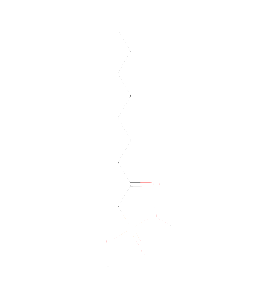 CCCCCCCC(=O)CP(=O)(OC)OC